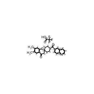 Cc1cc2c(cc1C)C(=O)CC1(CCN(C(=O)c3ccc4ncccc4c3)CC1)O2.O=C(O)C(F)(F)F